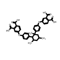 CC1CC(C)C(c2ccc(Oc3ccc(C(=O)O)c(C(=O)O)c3)cc2)C(C)(c2ccc(Oc3ccc(C(=O)O)c(C(=O)O)c3)cc2)C1